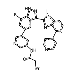 CC(C)CC(=O)Nc1cncc(-c2cc(F)c3[nH]nc(-c4nc5c(-c6ccncc6)nccc5[nH]4)c3c2)c1